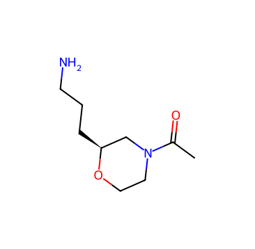 CC(=O)N1CCO[C@@H](CCCN)C1